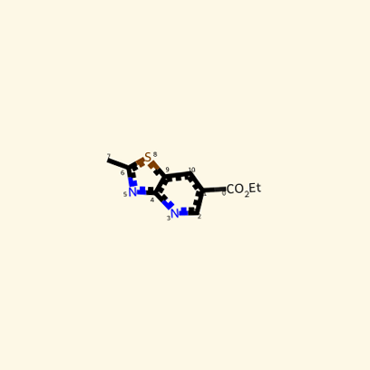 CCOC(=O)c1cnc2nc(C)sc2c1